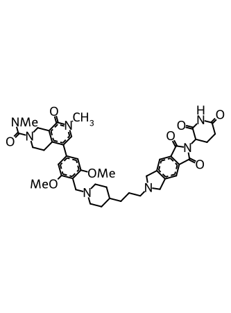 CNC(=O)N1CCc2c(-c3cc(OC)c(CN4CCC(CCCN5Cc6cc7c(cc6C5)C(=O)N(C5CCC(=O)NC5=O)C7=O)CC4)c(OC)c3)cn(C)c(=O)c2C1